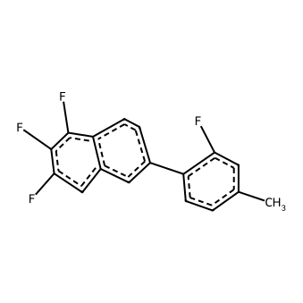 Cc1ccc(-c2ccc3c(F)c(F)c(F)cc3c2)c(F)c1